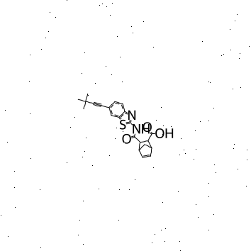 CC(C)(C)C#Cc1ccc2nc(NC(=O)C3C4C=CC(C4)C3C(=O)O)sc2c1